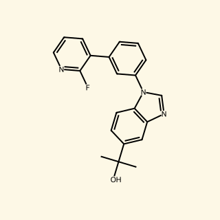 CC(C)(O)c1ccc2c(c1)ncn2-c1cccc(-c2cccnc2F)c1